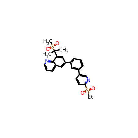 CCS(=O)(=O)c1ccc(-c2cccc(-c3cc(C(C)(C)S(C)(=O)=O)c4ncccc4c3)c2)cn1